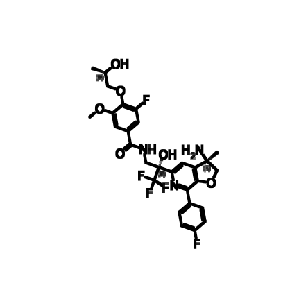 COc1cc(C(=O)NC[C@@](O)(c2cc3c(c(-c4ccc(F)cc4)n2)OC[C@@]3(C)N)C(F)(F)F)cc(F)c1OC[C@@H](C)O